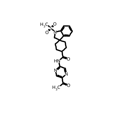 CC(=O)c1cnc(NC(=O)C2CCC3(CC2)CN(S(C)(=O)=O)c2ccccc23)cn1